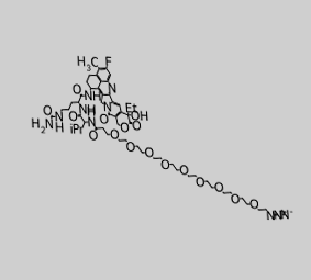 CC[C@@]1(O)C(=O)OCc2c1cc1n(c2=O)Cc2c-1nc1cc(F)c(C)c3c1c2[C@@H](NC(=O)C(CCCNC(N)=O)NC(=O)C(NC(=O)CCOCCOCCOCCOCCOCCOCCOCCOCCOCCN=[N+]=[N-])C(C)C)CC3